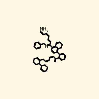 C=C(/C=C\C=C/CC1=CCCCC1C1C=CCCC1)c1ccccc1-c1ccc(C(/C=C/C=C\C=C/N)=N/Cc2ccccc2)c2c1CCC=C2